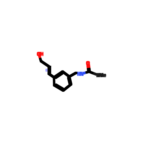 CNC(=O)NCc1cccc(/C=C/CO)c1